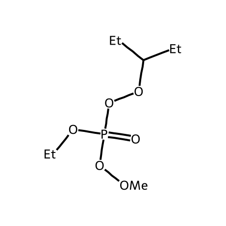 CCOP(=O)(OOC)OOC(CC)CC